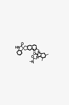 Cc1cc(C)c2c(c1)n(Cc1ccc3cc4c(cc3n1)C[C@]1(C4)C(=O)Nc3ccccc31)c(=O)n2CC(=O)N(C)C